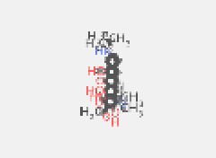 CC(=O)C1=C(O)[C@@H](N(C)C)[C@@H]2C[C@@H]3Cc4cc5ccc(NCC(C)(C)C)cc5c(O)c4C(=O)C3=C(O)[C@]2(O)C1=O